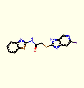 O=C(CSc1nc2cc(I)ncc2[nH]1)Nc1nc2ccccc2s1